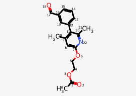 CC(=O)OCCOc1cc(C)c(-c2cccc(C=O)c2)c(C)n1